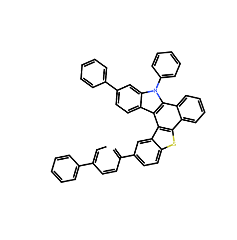 C=C(/C=C\C(=C/C)c1ccccc1)c1ccc2sc3c4ccccc4c4c(c5ccc(-c6ccccc6)cc5n4-c4ccccc4)c3c2c1